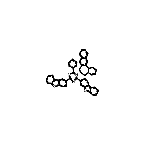 C1=CC2c3cc4ccccc4cc3CC[C@@H](c3cc4c(cc3-c3nc(-c5ccccc5)nc(-c5ccc6sc7ccccc7c6c5)n3)oc3ccccc34)C2C=C1